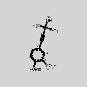 COc1ccc(C#CC(C)(C)O)cc1C(=O)O